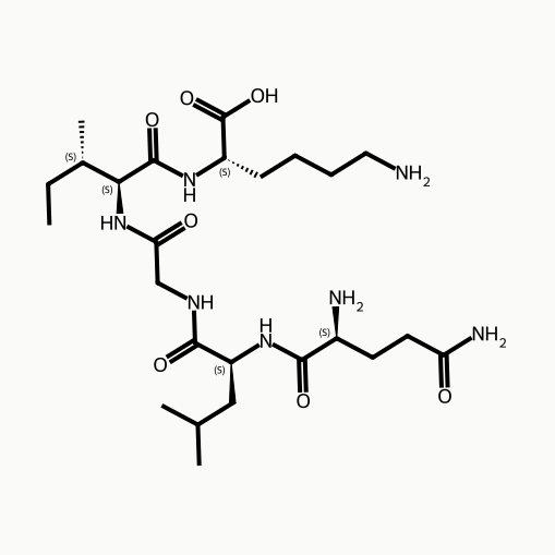 CC[C@H](C)[C@H](NC(=O)CNC(=O)[C@H](CC(C)C)NC(=O)[C@@H](N)CCC(N)=O)C(=O)N[C@@H](CCCCN)C(=O)O